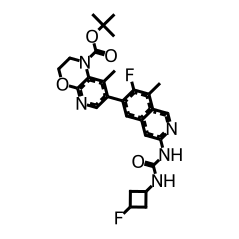 Cc1c(-c2cc3cc(NC(=O)NC4CC(F)C4)ncc3c(C)c2F)cnc2c1N(C(=O)OC(C)(C)C)CCO2